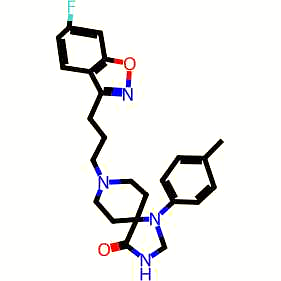 Cc1ccc(N2CNC(=O)C23CCN(CCCc2noc4cc(F)ccc24)CC3)cc1